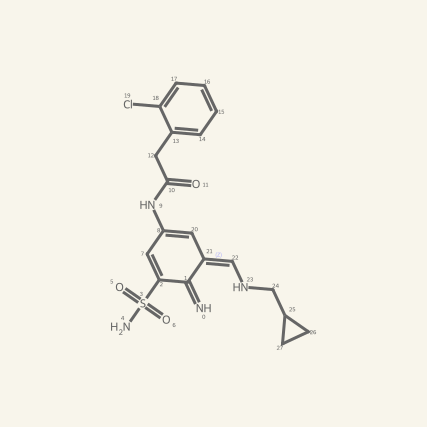 N=C1C(S(N)(=O)=O)=CC(NC(=O)Cc2ccccc2Cl)=C/C1=C/NCC1CC1